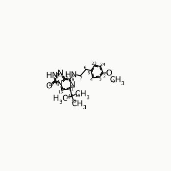 COc1ccc(CCNc2nc(C(C)(C)C)cn3c(=O)[nH]nc23)cc1